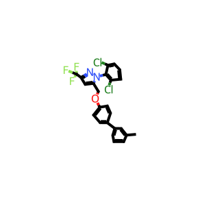 Cc1cccc(-c2ccc(OCc3cc(C(F)(F)F)nn3-c3c(Cl)cccc3Cl)cc2)c1